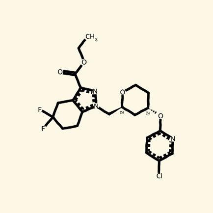 CCOC(=O)c1nn(C[C@@H]2C[C@@H](Oc3ccc(Cl)cn3)CCO2)c2c1CC(F)(F)CC2